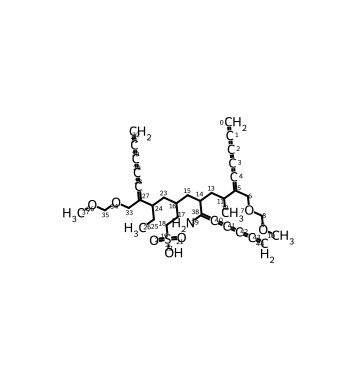 C=C=C=C=C=C(COCOC)C(C)CC(CC(CCS(=O)(=O)O)CC(CC)C(=C=C=C=C=C)COCOC)C(N)=C=C=C=C=C